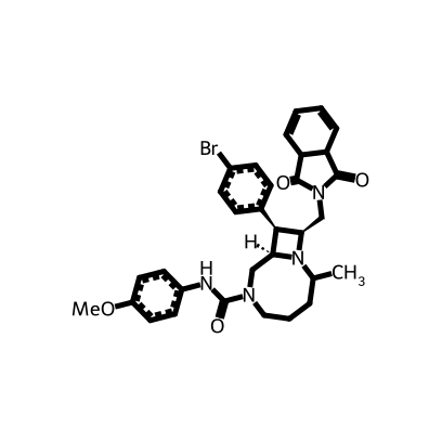 COc1ccc(NC(=O)N2CCCC(C)N3[C@H](CN4C(=O)C5C=CC=CC5C4=O)[C@H](c4ccc(Br)cc4)[C@@H]3C2)cc1